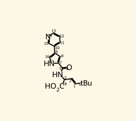 CC(C)(C)/C=C/C(NC(=O)c1cc(-c2cccnc2)c[nH]1)C(=O)O